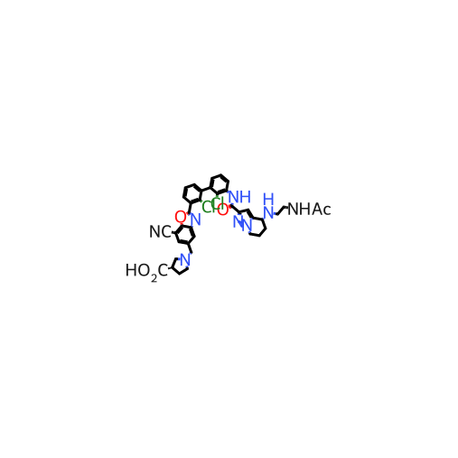 CC(=O)NCCNC1CCCn2nc(C(=O)Nc3cccc(-c4cccc(-c5nc6cc(CN7CC[C@@H](C(=O)O)C7)cc(C#N)c6o5)c4Cl)c3Cl)cc21